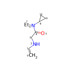 C=CNCC(=O)N(CC)C1CC1